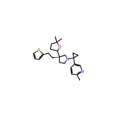 Cc1ccc(C2(N3CC[C@](CCc4cccs4)(C4CCC(C)(C)O4)C3)CC2)cn1